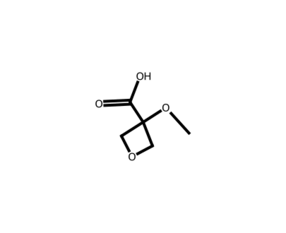 COC1(C(=O)O)COC1